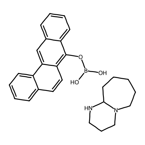 C1CCC2NCCCN2CC1.OB(O)Oc1c2ccccc2cc2c1ccc1ccccc12